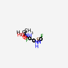 CCC(C)[C@H](NC(=O)c1ccc(-c2ccc(Nc3nc4ccc(F)cc4s3)cc2)cc1F)C(=O)O